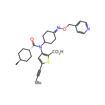 CC(C)(C)C#Cc1cc(N(C(=O)[C@H]2CC[C@H](C)CC2)C2CCC(=NOCc3ccncc3)CC2)c(C(=O)O)s1